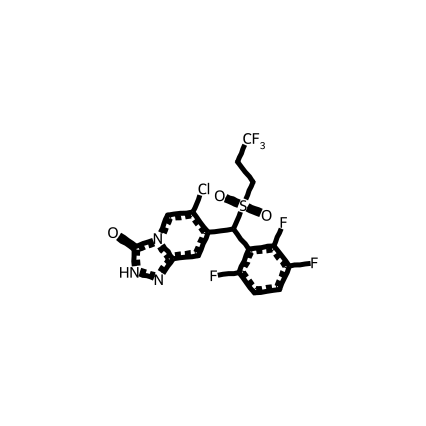 O=c1[nH]nc2cc(C(c3c(F)ccc(F)c3F)S(=O)(=O)CCC(F)(F)F)c(Cl)cn12